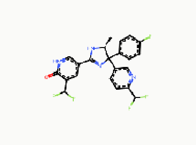 C[C@@H]1NC(c2c[nH]c(=O)c(C(F)F)c2)=NC1(c1ccc(F)cc1)c1ccc(C(F)F)nc1